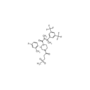 Cc1cc(F)ccc1[C@H]1CN(C(=O)CCS(C)(=O)=O)CC[C@@H]1C(=O)N(C)[C@H](C)c1cc(C(F)(F)F)cc(C(F)(F)F)c1